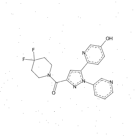 O=C(c1cc(-c2ccc(O)cn2)n(-c2cccnc2)n1)N1CCC(F)(F)CC1